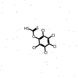 S=C(S)Oc1c(Cl)c(Cl)c(Cl)c(Cl)c1Cl